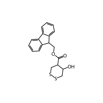 O=C(OCC1c2ccccc2-c2ccccc21)C1CSSCC1O